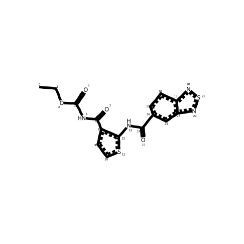 CCOC(=O)NC(=O)c1ccsc1NC(=O)c1ccc2nsnc2c1